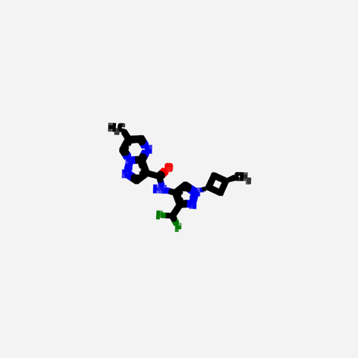 Cc1cnc2c(C(=O)Nc3cn([C@H]4C[C@H](C)C4)nc3C(F)F)cnn2c1